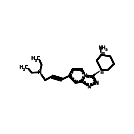 CCN(CC)CC#Cc1ccn2c([C@H]3CCC[C@@H](N)C3)nnc2c1